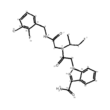 CC(CF)N(CC(=O)NCc1cccc(Cl)c1F)C(=O)Cn1nc(C(N)=O)c2ccccc21